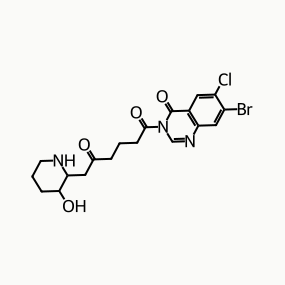 O=C(CCCC(=O)n1cnc2cc(Br)c(Cl)cc2c1=O)CC1NCCCC1O